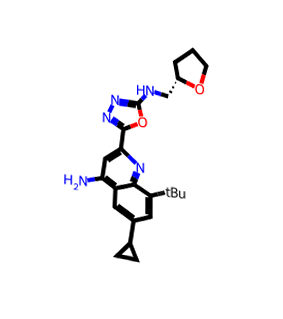 CC(C)(C)c1cc(C2CC2)cc2c(N)cc(-c3nnc(NC[C@@H]4CCCO4)o3)nc12